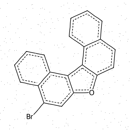 Brc1cc2oc3ccc4ccccc4c3c2c2ccccc12